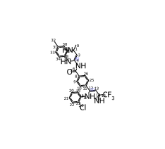 CC(=N)/C=C(/NC(=O)c1ccc(/C(=C/C(=N)C(F)(F)F)Nc2ccccc2Cl)cc1)Nc1ccc(C)cc1